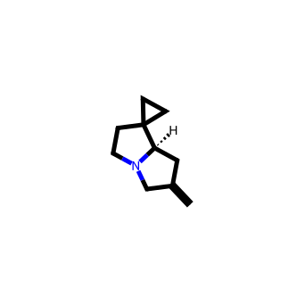 C=C1C[C@H]2N(CCC23CC3)C1